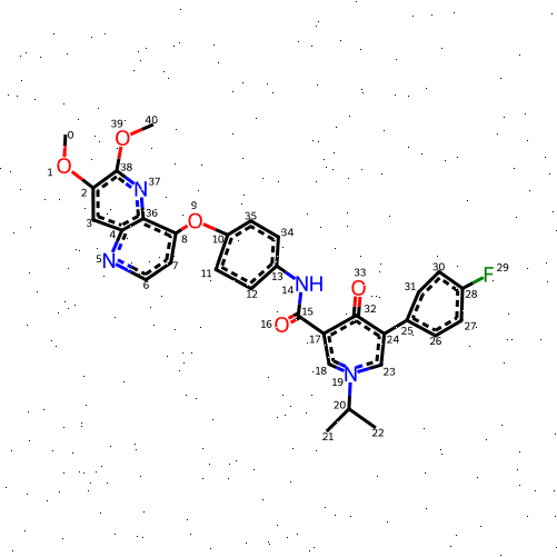 COc1cc2nccc(Oc3ccc(NC(=O)c4cn(C(C)C)cc(-c5ccc(F)cc5)c4=O)cc3)c2nc1OC